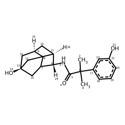 CC(C)(C(=O)N[C@@H]1C2C[C@@H]3C[C@@H]1C[C@](O)(C2)C3)c1cccc(O)c1